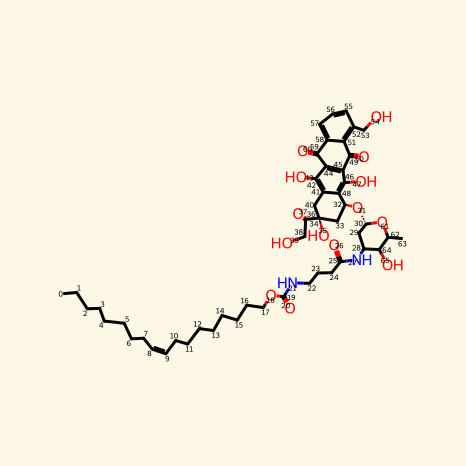 CCCCCCCC/C=C\CCCCCCCCOC(=O)NCCCC(=O)NC1C[C@H](O[C@H]2C[C@](O)(C(=O)CO)Cc3c(O)c4c(c(O)c32)C(=O)c2c(CO)cccc2C4=O)OC(C)C1O